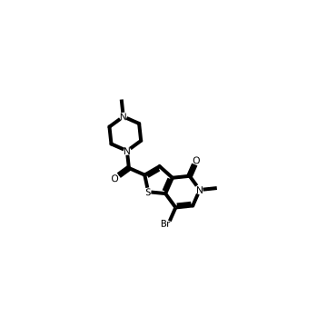 CN1CCN(C(=O)c2cc3c(=O)n(C)cc(Br)c3s2)CC1